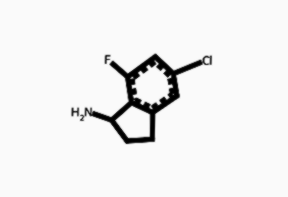 NC1CCc2cc(Cl)cc(F)c21